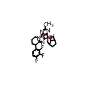 Cc1noc(N2CC3CCC(C2)C3Nc2nc3n(n2)CCCC3c2ccc(F)c(F)c2F)n1